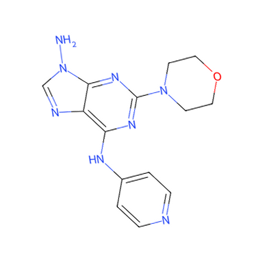 Nn1cnc2c(Nc3ccncc3)nc(N3CCOCC3)nc21